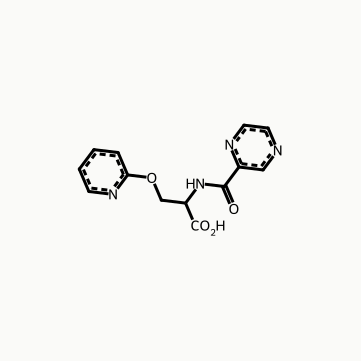 O=C(NC(COc1ccccn1)C(=O)O)c1cnccn1